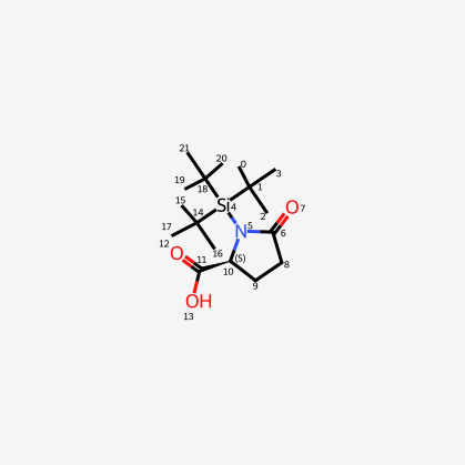 CC(C)(C)[Si](N1C(=O)CC[C@H]1C(=O)O)(C(C)(C)C)C(C)(C)C